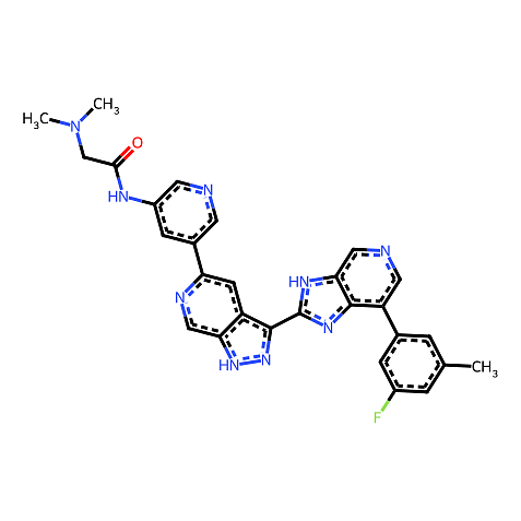 Cc1cc(F)cc(-c2cncc3[nH]c(-c4n[nH]c5cnc(-c6cncc(NC(=O)CN(C)C)c6)cc45)nc23)c1